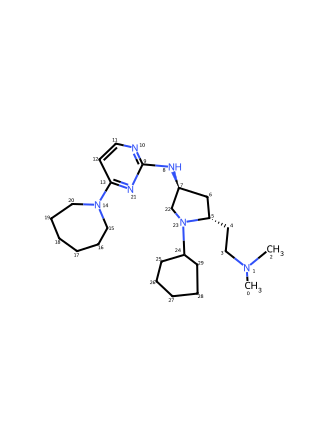 CN(C)CC[C@H]1C[C@H](Nc2nccc(N3CCCCCC3)n2)CN1C1CCCCC1